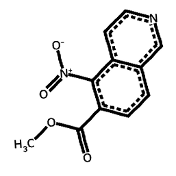 COC(=O)c1ccc2cnccc2c1[N+](=O)[O-]